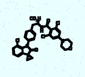 O=C(NC(Cc1ccc(N2C(=O)C3(CC3)c3cccc(Cl)c32)cc1)C(=O)O)c1c(Cl)cc(N2CCOCC2)cc1Cl